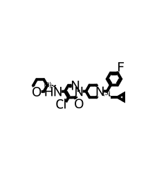 O=c1c(Cl)c(NC[C@H]2CCCOC2)cnn1C1CCN([C@@H](CC2CC2)c2ccc(F)cc2)CC1